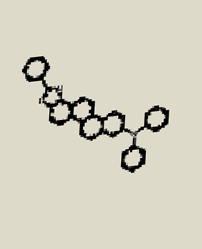 c1ccc(-c2nc3c(ccc4c5ccc6cc(N(c7ccccc7)c7ccccc7)ccc6c5ccc43)o2)cc1